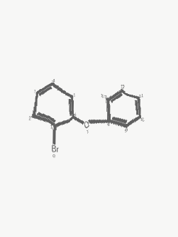 Brc1ccccc1Oc1cc[c]cc1